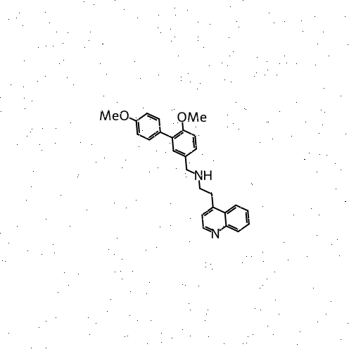 COc1ccc(-c2cc(CNCCc3ccnc4ccccc34)ccc2OC)cc1